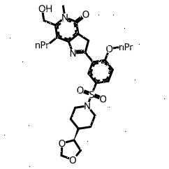 CCCOc1ccc(S(=O)(=O)N2CCC([C@H]3COCO3)CC2)cc1C1=Nc2c(CCC)c(CO)n(C)c(=O)c2C1